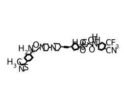 Cc1ncsc1-c1ccc([C@@H](N)CC(=O)N2CCC(N3CCC(C#Cc4ccc(S(=O)(=O)CC(C)(O)C(=O)Nc5ccc(C#N)c(C(F)(F)F)c5)cc4)CC3)CC2)cc1